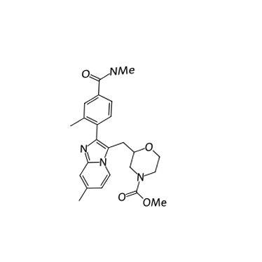 CNC(=O)c1ccc(-c2nc3cc(C)ccn3c2CC2CN(C(=O)OC)CCO2)c(C)c1